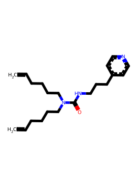 C=CCCCCN(CCCCC=C)C(=O)NCCCc1ccncc1